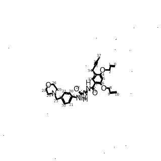 C=CCOc1cc(OCC=C)c(C(=O)NNC(=O)Nc2ccc(CN3CCOCC3)cc2)cc1CC#CC